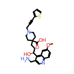 COc1ccc2ncc(CN)c([C@@H](O)CCC3(C(=O)O)CCN(CC#Cc4cccs4)CC3)c2c1